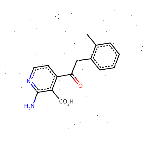 Cc1ccccc1CC(=O)c1ccnc(N)c1C(=O)O